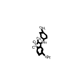 CCCc1ccc2c(c1)C(NC1CCC(O)CC1)C(C)S2(=O)=O